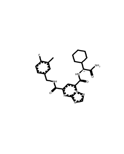 Cc1cc(CNC(=O)c2cc(C(=O)N[C@H](C(N)=O)C3CCCCC3)n3ncnc3n2)ccc1F